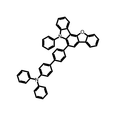 c1ccc(N(c2ccccc2)c2ccc(-c3ccc(-c4cc5c6ccccc6oc5c5c6ccccc6n(-c6ccccc6)c45)cc3)cc2)cc1